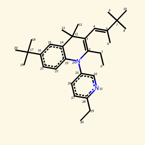 CCC1=C(/C=C(\C)C(C)(C)C)C(C)(C)c2cc(C(C)(C)C)ccc2N1c1ccc(CC)nc1